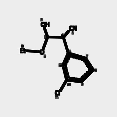 CCOC(O)C(C#N)c1cccc(Cl)c1